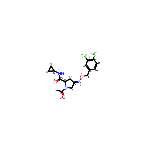 CC(=O)N1CC(=NOCc2ccc(Cl)c(Cl)c2)CC1C(=O)NC1CC1